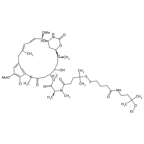 CCOC(C)(C)CCNC(=O)CCCSSC(C)(C)CCC(=O)N(C)[C@@H](C)C(=O)OC1CC(=O)N(C)c2cc(cc(OC)c2Cl)C/C(C)=C/C=C/[C@@H](OC)[C@@]2(O)C[C@H](OC(=O)N2)[C@@H](C)C[C@@]1(C)O